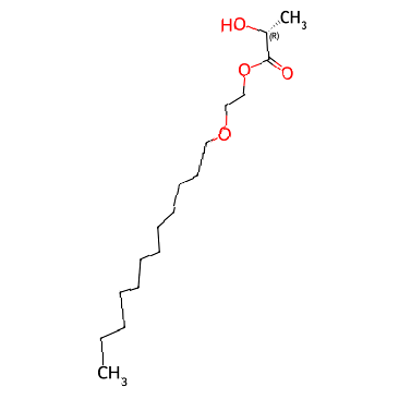 CCCCCCCCCCCCOCCOC(=O)[C@@H](C)O